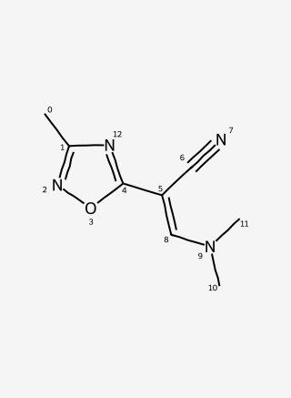 Cc1noc(C(C#N)=CN(C)C)n1